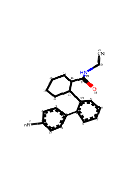 CCCc1ccc(-c2ccccc2C2CCCCC2C(=O)NCC#N)cc1